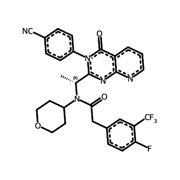 C[C@H](c1nc2ncccc2c(=O)n1-c1ccc(C#N)cc1)N(C(=O)Cc1ccc(F)c(C(F)(F)F)c1)C1CCOCC1